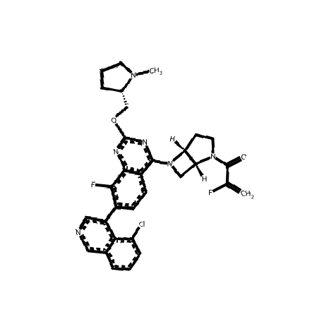 C=C(F)C(=O)N1CC[C@@H]2[C@H]1CN2c1nc(OC[C@@H]2CCCN2C)nc2c(F)c(-c3cncc4cccc(Cl)c34)ccc12